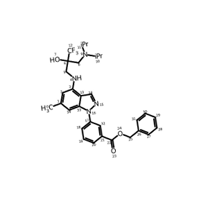 Cc1cc(NCC(O)(CN(C(C)C)C(C)C)C(F)(F)F)c2cnn(-c3cccc(C(=O)OCc4ccccc4)c3)c2c1